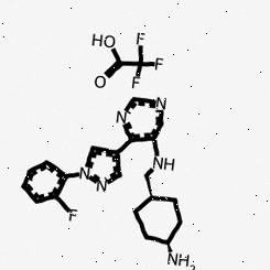 N[C@H]1CC[C@@H](CNc2cncnc2-c2cnn(-c3ccccc3F)c2)CC1.O=C(O)C(F)(F)F